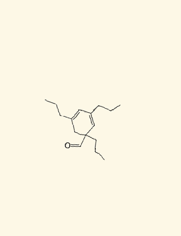 CCCC1=CC(C=O)(CCC)CC(CCC)=C1